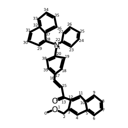 COCc1cc2ccccc2cc1C(=O)C=Cc1ccc(N(c2ccccc2)c2cccc3ccccc23)cc1